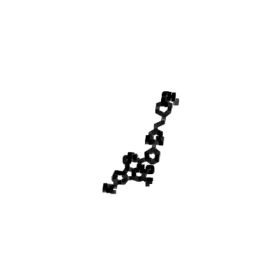 CCC(c1cccc(-c2ncc(CCC3CCN(C)CC3)cn2)c1)n1c2c(cc(F)c1=O)-c1cc(C#N)ccc1C2=O